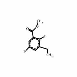 CCc1cc(F)cc(C(=O)OC)c1F